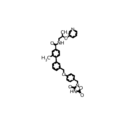 Cc1cc(C(=O)NCC(C)Oc2cccnc2)ccc1-c1cccc(COc2ccc(Cn3oc(=O)[nH]c3=O)cc2)c1